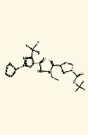 CCN(NC(=O)c1cn(-c2ccccc2)nc1C(F)(F)F)C(=O)C1CCN(C(=O)OC(C)(C)C)C1